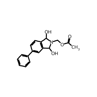 CC(=O)OCN1C(O)c2ccc(-c3ccccc3)cc2C1O